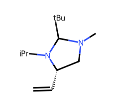 C=C[C@H]1CN(C)C(C(C)(C)C)N1C(C)C